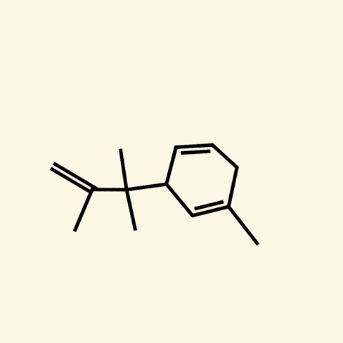 C=C(C)C(C)(C)C1C=CCC(C)=C1